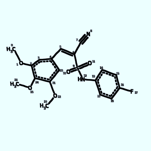 COc1cc(/C=C(/C#N)S(=O)(=O)Nc2ccc(F)cc2)cc(OC)c1OC